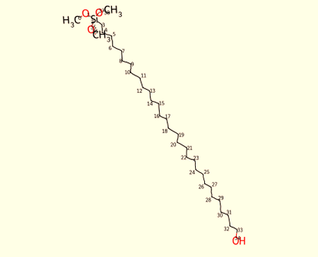 CO[Si](CCCCCCCCCCCCCCCCCCCCCCCCCCCCCCCO)(OC)OC